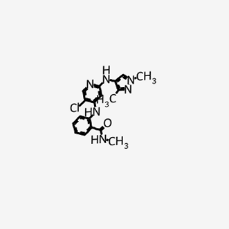 CNC(=O)c1ccccc1Nc1cc(Nc2cn(C)nc2C)ncc1Cl